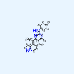 C=C(c1ccn2nccc2c1)c1c(C)nc(NC2CCC(C)CC2)nc1CC(C)C